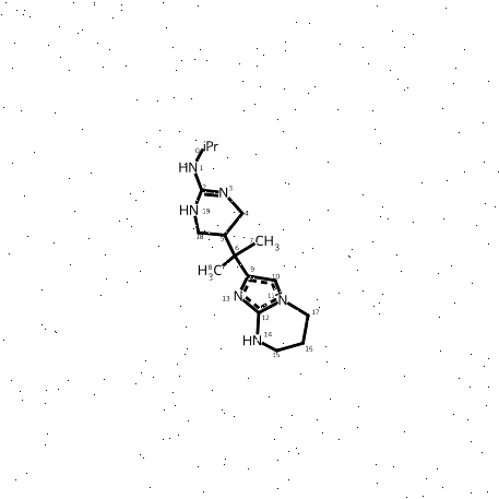 CC(C)NC1=NCC(C(C)(C)c2cn3c(n2)NCCC3)CN1